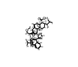 CC(C)[C@@H](C)[C@@]1(C)CC[C@]2(C)[C@H]3CC[C@@H]4[C@@]5(COC[C@@]4(C)[C@@H](OC[C@](C)(N)C(C)C)[C@H](n4ncnc4-c4cccc6ccccc46)C5)C3=CC[C@@]2(C)[C@@H]1C(=O)O